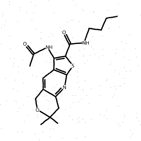 CCCCNC(=O)c1sc2nc3c(cc2c1NC(C)=O)COC(C)(C)C3